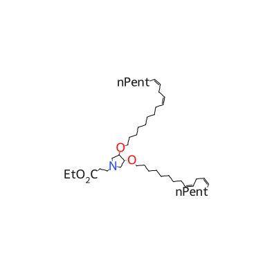 CCCCC/C=C\C/C=C\CCCCCCCCO[C@@H]1CN(CCC(=O)OCC)C[C@H]1OCCCCCCCC/C=C\C/C=C\CCCCC